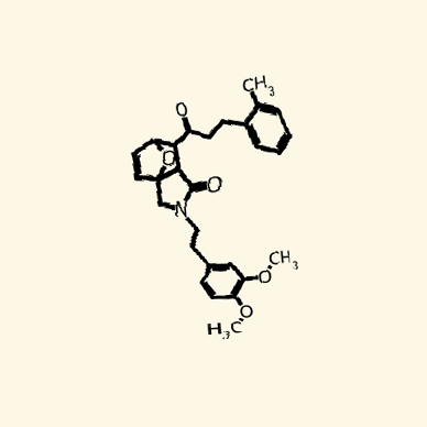 COc1ccc(CCN2CC34C=CC(O3)C(C(=O)CCc3ccccc3C)C4C2=O)cc1OC